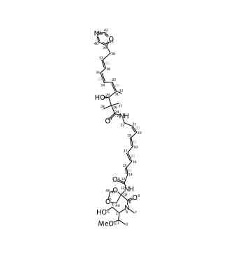 COC(C)C(CO)N(C)C(=O)C1(NC(=O)/C=C/C=C/C=C/C=C\CNC(=O)C(C)(C)C(O)\C(C)=C/C=C\C=C\Cc2cnco2)COCO1